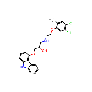 Cc1cc(Cl)c(Cl)cc1OCCNCC(O)COc1cccc2[nH]c3ccccc3c12